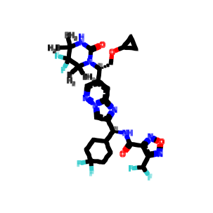 BC1(B)NC(=O)N([C@H](COC2CC2)c2cnn3cc([C@@H](NC(=O)c4nonc4C(F)F)C4CCC(F)(F)CC4)nc3c2)C(B)(B)C1(F)F